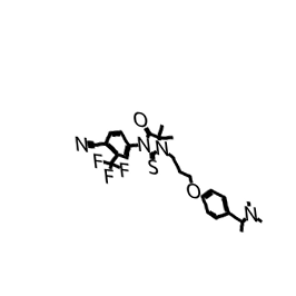 CC(c1ccc(OCCCN2C(=S)N(c3ccc(C#N)c(C(F)(F)F)c3)C(=O)C2(C)C)cc1)N(C)C